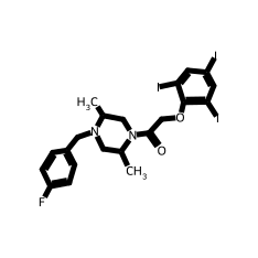 CC1CN(C(=O)COc2c(I)cc(I)cc2I)C(C)CN1Cc1ccc(F)cc1